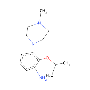 CC(C)Oc1c(N)cccc1N1CCN(C)CC1